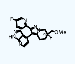 COC[C@]1(F)CCc2c(-c3ccnc4[nH]ncc34)c(-c3ccc(F)cn3)nn2C1